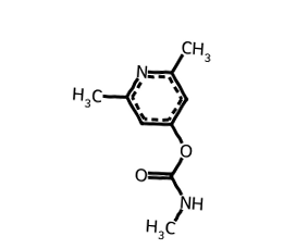 CNC(=O)Oc1cc(C)nc(C)c1